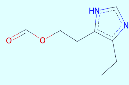 CCc1nc[nH]c1CCOC=O